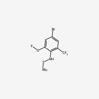 CC(C)(C)SNc1c(OF)cc(Br)cc1C(F)(F)F